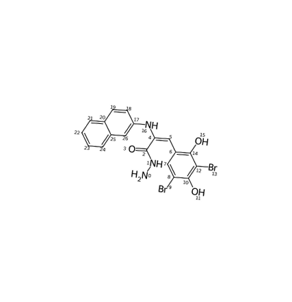 NNC(=O)C(=Cc1cc(Br)c(O)c(Br)c1O)Nc1ccc2ccccc2c1